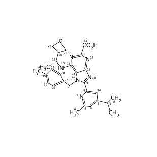 C=C(C)c1cc(C)nc(-c2nc3nc(C(=O)O)nc(N[C@H](C)C4CCC4)c3n2Cc2ccc(C(F)(F)F)cc2)c1